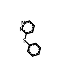 c1ccc(Sc2cccnn2)cc1